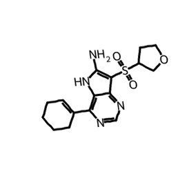 Nc1[nH]c2c(C3=CCCCC3)ncnc2c1S(=O)(=O)C1CCOC1